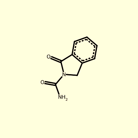 NC(=O)N1Cc2ccccc2C1=O